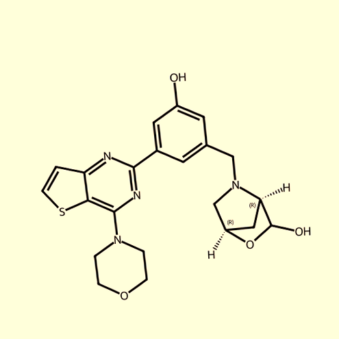 Oc1cc(CN2C[C@H]3C[C@@H]2C(O)O3)cc(-c2nc(N3CCOCC3)c3sccc3n2)c1